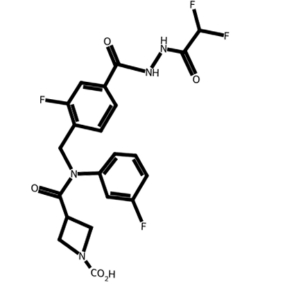 O=C(NNC(=O)C(F)F)c1ccc(CN(C(=O)C2CN(C(=O)O)C2)c2cccc(F)c2)c(F)c1